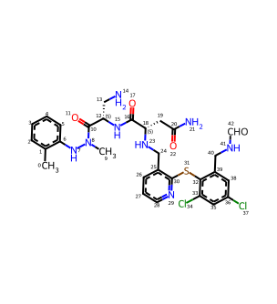 Cc1ccccc1NN(C)C(=O)[C@H](CN)NC(=O)[C@H](CC(N)=O)NCc1cccnc1Sc1c(Cl)cc(Cl)cc1CNC=O